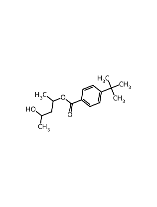 CC(O)CC(C)OC(=O)c1ccc(C(C)(C)C)cc1